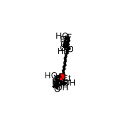 CCN(CCCCCCCCCCCCNC(=O)c1cc2cc(F)c(O)c(F)c2oc1=O)C(=O)O[C@@]12[C@H](O)[C@@H](C)[C@@]3(O)[C@@H](C=C(CO)C[C@]4(O)C(=O)C(C)=C[C@@H]34)[C@@H]1C2(C)C